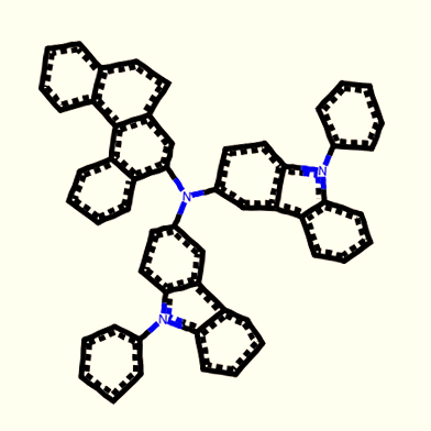 c1ccc(-n2c3ccccc3c3cc(N(c4ccc5c(c4)c4ccccc4n5-c4ccccc4)c4cc5ccc6ccccc6c5c5ccccc45)ccc32)cc1